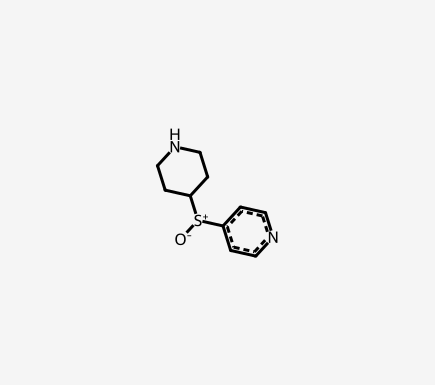 [O-][S+](c1ccncc1)C1CCNCC1